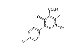 CCn1cc(-c2ccc(Br)cc2)c(=O)c(C(=O)O)c1C